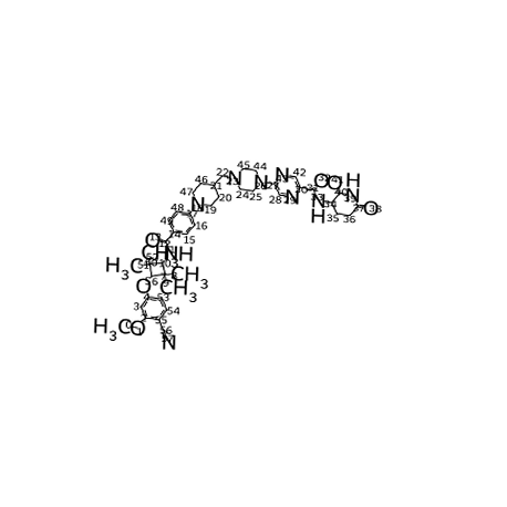 COc1cc(OC2C(C)(C)C(NC(=O)c3ccc(N4CCC(CN5CCN(c6cnc(C(=O)NC7CCC(=O)NC7=O)cn6)CC5)CC4)cc3)C2(C)C)ccc1C#N